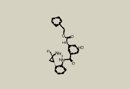 CC[C@]1(N)C[C@H]1c1ccccc1NC(=O)c1cccc(NC(=O)OCc2ccccc2)c1.Cl